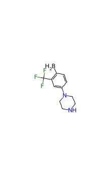 Bc1ccc(N2CCNCC2)cc1C(F)(F)F